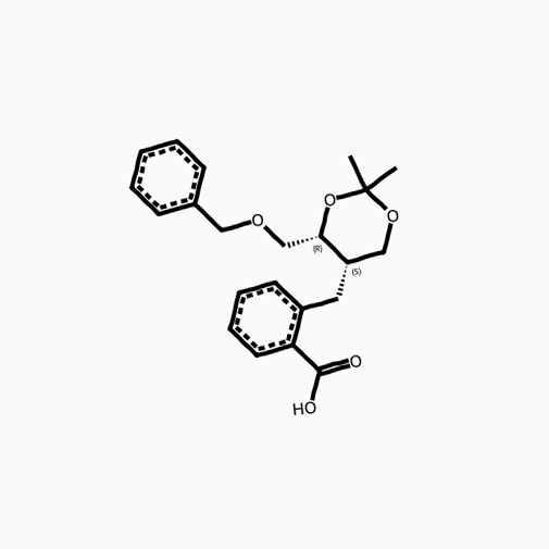 CC1(C)OC[C@H](Cc2ccccc2C(=O)O)[C@H](COCc2ccccc2)O1